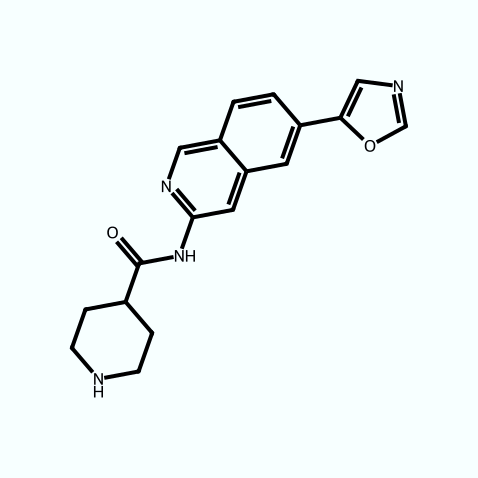 O=C(Nc1cc2cc(-c3cnco3)ccc2cn1)C1CCNCC1